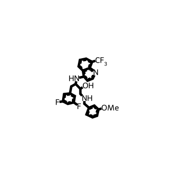 COc1cccc(CNCC(O)C(Cc2cc(F)cc(F)c2)Nc2ccnc3c(C(F)(F)F)cccc23)c1